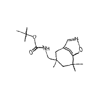 CC1(CNC(=O)OC(C)(C)C)Cc2cnoc2C(C)(C)C1